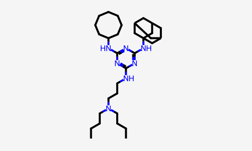 CCCCN(CCCC)CCCNc1nc(NC2CCCCCCC2)nc(NC23CC4CC(CC(C4)C2)C3)n1